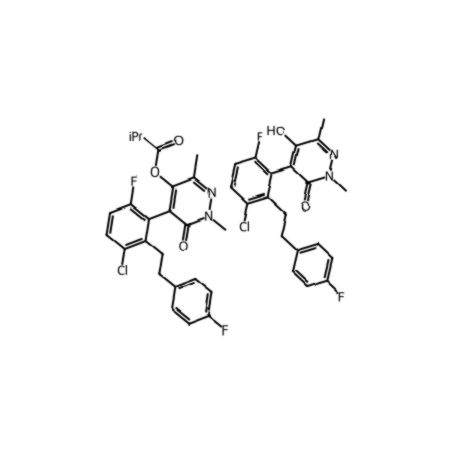 Cc1nn(C)c(=O)c(-c2c(F)ccc(Cl)c2CCc2ccc(F)cc2)c1O.Cc1nn(C)c(=O)c(-c2c(F)ccc(Cl)c2CCc2ccc(F)cc2)c1OC(=O)C(C)C